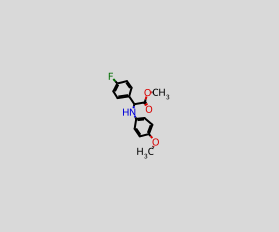 COC(=O)C(Nc1ccc(OC)cc1)c1ccc(F)cc1